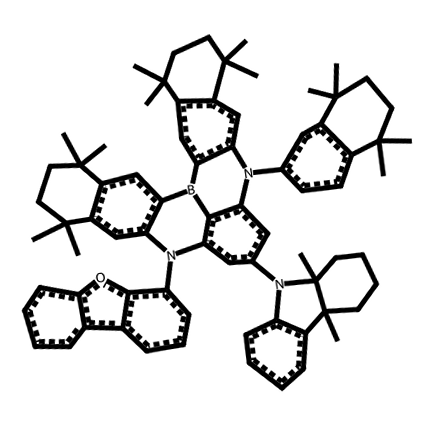 CC1(C)CCC(C)(C)c2cc(N3c4cc5c(cc4B4c6cc7c(cc6N(c6cccc8c6oc6ccccc68)c6cc(N8c9ccccc9C9(C)CCCCC89C)cc3c64)C(C)(C)CCC7(C)C)C(C)(C)CCC5(C)C)ccc21